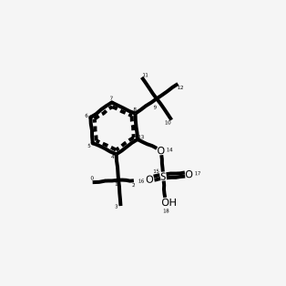 CC(C)(C)c1cccc(C(C)(C)C)c1OS(=O)(=O)O